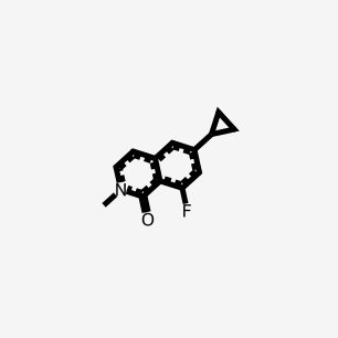 Cn1ccc2cc(C3CC3)cc(F)c2c1=O